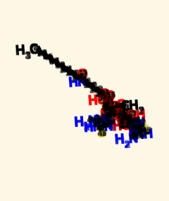 CCCCCCCCCCCCCCCC(=O)NCCCCCCOP(=O)(O)OCC1OC(N2CNc3c2nc(N)[nH]c3=S)C(O)C1OP(OC)OCC(OC)C(O)C(O)n1cnc2c(=S)[nH]c(N)nc21